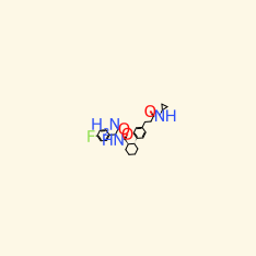 NC(=O)[C@H](NC(=O)[C@@H]1CCCC[C@H]1c1ccc(CCC(=O)NC2CC2)cc1)c1ccc(F)cc1